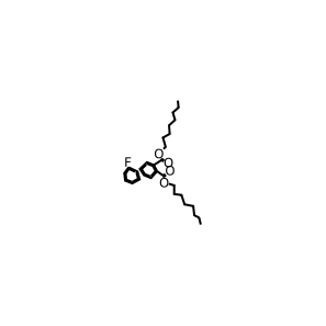 CCCCCCCCOC(=O)c1ccccc1C(=O)OCCCCCCCC.Fc1ccccc1